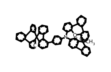 CC1(C)c2ccccc2-c2ccc(N(c3ccc(-c4cccc5c4-c4ccccc4C54c5ccccc5-c5ccccc5-c5ccccc54)cc3)c3cccc4c3Oc3ccccc3-c3ccccc3-4)cc21